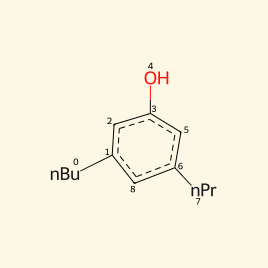 CCCCc1cc(O)cc(CCC)c1